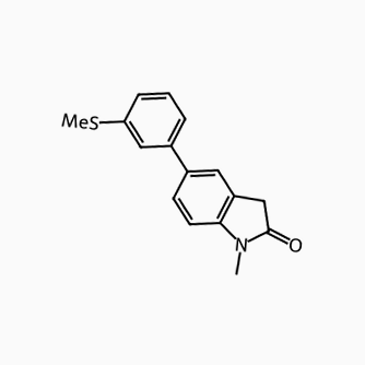 CSc1cccc(-c2ccc3c(c2)CC(=O)N3C)c1